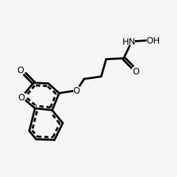 O=C(CCCOc1cc(=O)oc2ccccc12)NO